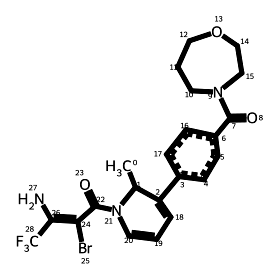 CC1C(c2ccc(C(=O)N3CCCOCC3)cc2)=CC=CN1C(=O)/C(Br)=C(\N)C(F)(F)F